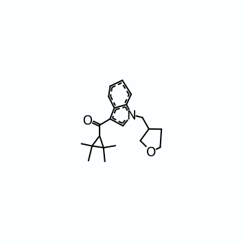 CC1(C)C(C(=O)c2cn(CC3CCOC3)c3ccccc23)C1(C)C